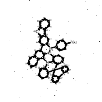 CCCCc1ccc(N2B3c4cccc5c4N(c4ccccc4C54c5ccccc5-c5ccccc54)c4c3c(cc3ccccc43)-c3cc4oc5ccccc5c4cc32)cc1